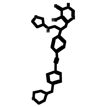 O=c1[nH]cnc(CC(CNC2CCOC2)c2ccc(C#Cc3ccc(CN4CCOCC4)cc3)cc2)c1O